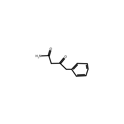 NC(=O)CC(=O)Cc1ccccc1